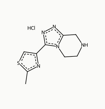 Cc1nc(-c2nnc3n2CCNC3)cs1.Cl